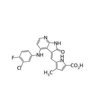 Cc1cc(C(=O)O)[nH]c1C=C1C(=O)Nc2nccc(Nc3ccc(F)c(Cl)c3)c21